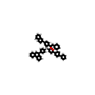 c1ccc(-c2ccc(-c3ccc(N(c4ccc(-c5cc6ccccc6c6ccccc56)cc4)c4cc(-c5ccc6ccccc6c5)ccc4-c4ccc5ccccc5c4)cc3)cc2)cc1